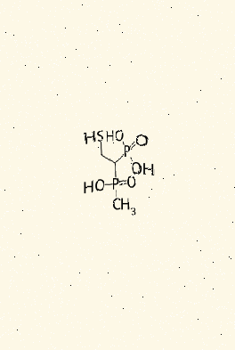 CP(=O)(O)C(CS)P(=O)(O)O